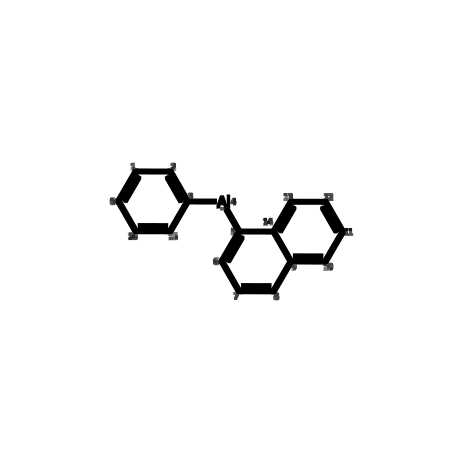 c1cc[c]([Al][c]2cccc3ccccc23)cc1